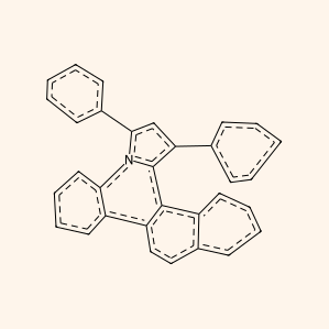 c1ccc(-c2cc(-c3ccccc3)n3c4ccccc4c4ccc5ccccc5c4c23)cc1